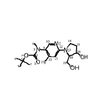 CN(C(=O)OC(C)(C)C)c1cnc(N2CCC(O)C2CO)cc1I